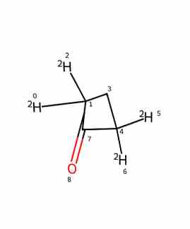 [2H]C1([2H])CC([2H])([2H])C1=O